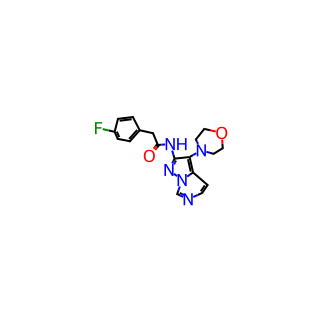 O=C(Cc1ccc(F)cc1)Nc1nn2cnccc2c1N1CCOCC1